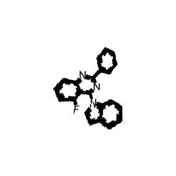 Fc1cccc2nc(-c3ccccc3)nc(-n3ccc4ccccc43)c12